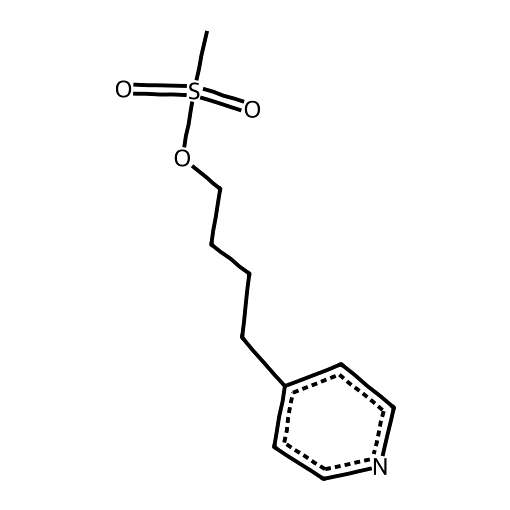 CS(=O)(=O)OCCCCc1ccncc1